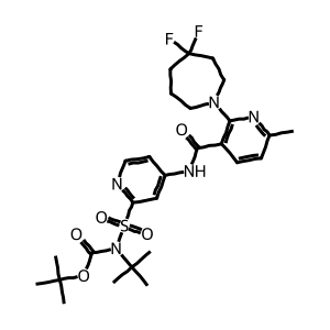 Cc1ccc(C(=O)Nc2ccnc(S(=O)(=O)N(C(=O)OC(C)(C)C)C(C)(C)C)c2)c(N2CCCC(F)(F)CC2)n1